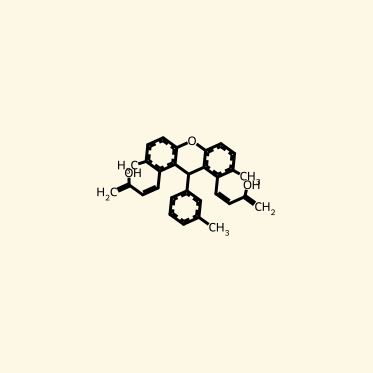 C=C(O)/C=C\c1c(C)ccc2c1C(c1cccc(C)c1)c1c(ccc(C)c1/C=C\C(=C)O)O2